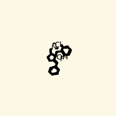 CN(C)CC1CCC(=Cc2ccccc2)C1(O)Cc1c(F)cccc1Cl